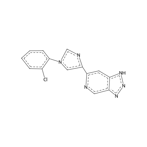 Clc1ccccc1-n1cnc(-c2cc3[nH]nnc3cn2)c1